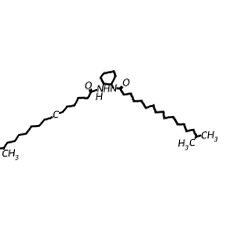 CC(C)CCCCCCCCCCCCCCC(=O)N[C@@H]1CCCC[C@H]1NC(=O)CCCCCCCCCCCCCCC(C)C